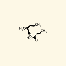 CCCC(C)C#N.CCOC(C)=O